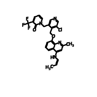 C/C=C\Nc1cc(C)nc2c(OCc3c(Cl)cncc3Cn3cccc(C(F)(F)F)c3=O)cccc12